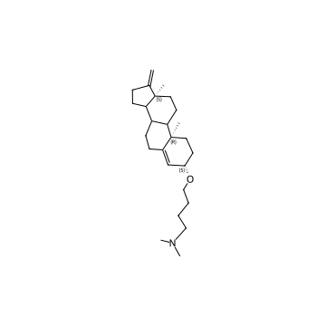 C=C1CCC2C3CCC4=C[C@@H](OCCCCN(C)C)CC[C@]4(C)C3CC[C@]12C